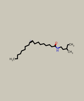 CCCCCCCC/C=C\CCCCCCCC(=O)NCCC(C)CC